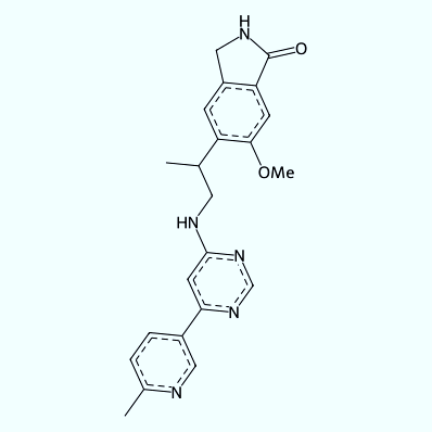 COc1cc2c(cc1C(C)CNc1cc(-c3ccc(C)nc3)ncn1)CNC2=O